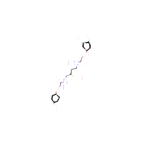 O=C(COc1ccc(Cl)c(F)c1)NCC[C@H](O)CNC(=O)COc1ccc(Cl)cc1